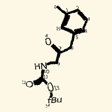 Cc1cccc(CC(=O)CNC(=O)OC(C)(C)C)c1